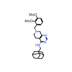 COc1cccc(CN2CCc3c(ncnc3NCC34CC5CC(CC(C5)C3)C4)C2)c1OC